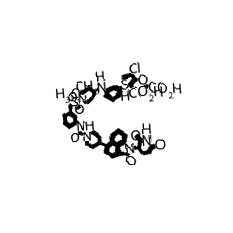 CC1(C)C[C@@H](Nc2cccc([SH]3C=C(Cl)C(OCC(=O)O)=C3C(=O)O)c2)CCN1S(=O)(=O)Cc1cccc(NC(=O)N2CCC(c3ccc4c5c(cccc35)N(C3CCC(=O)NC3=O)C4=O)CC2)c1